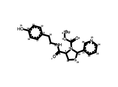 CC(C)(C)OC(=O)N1C(C(=O)NCCc2ccc(O)cc2)CSC1c1cccnc1